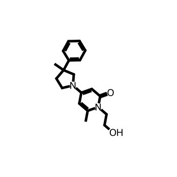 Cc1cc(N2CCC(C)(c3ccccc3)C2)cc(=O)n1CCO